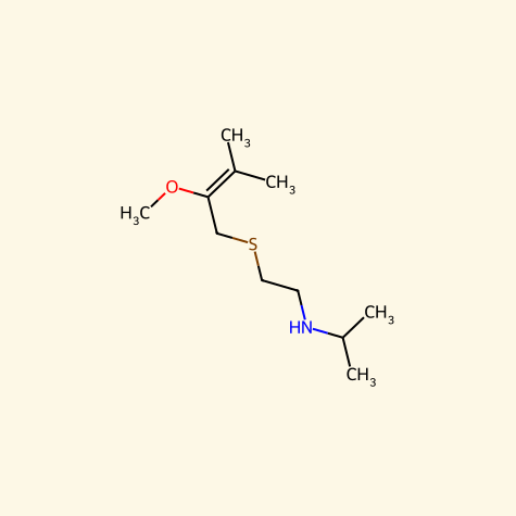 COC(CSCCNC(C)C)=C(C)C